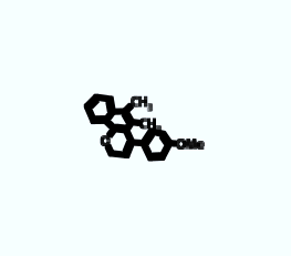 COc1ccc(C2=CCOc3c2c(C)c(C)c2ccccc32)cc1